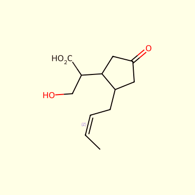 C/C=C\CC1CC(=O)CC1C(CO)C(=O)O